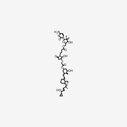 C=C1/C(=C\C=C2/CCC[C@@]3(C)C2CC[C@@H]3[C@@H](C)/C=C/C(O)C2CC2)CC(OC(=O)CSC2CC(=O)N(CCCC(=O)OCC3OC(n4ccc(N)nc4=O)C(F)(F)C3O)C2O)C[C@@H]1O